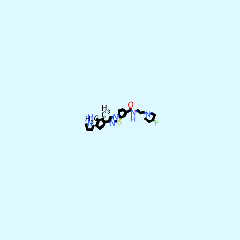 Cc1c(-c2cn3c(n2)sc2cc(C(=O)NCCCN4CCC(F)CC4)ccc23)ccc([C@H]2CCCN2)c1C